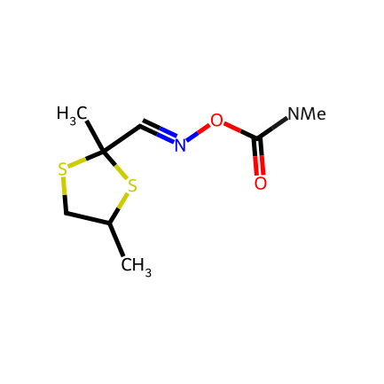 CNC(=O)ON=CC1(C)SCC(C)S1